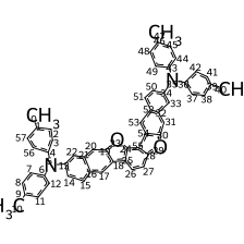 Cc1ccc(N(c2ccc(C)cc2)c2ccc3cc4c(cc3c2)oc2c4ccc3oc4cc5cc(N(c6ccc(C)cc6)c6ccc(C)cc6)ccc5cc4c32)cc1